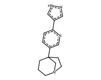 c1n[nH]cc1-c1ccc(C23CCCN(CC2)C3)cn1